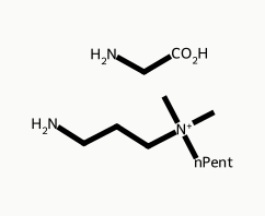 CCCCC[N+](C)(C)CCCN.NCC(=O)O